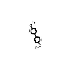 CCOc1ccc(-c2ccc(OCC)nc2)cn1